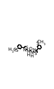 CSc1cccc(-c2csc(NC(=O)Nc3nc(-c4cccc(SC)c4)cs3)n2)c1